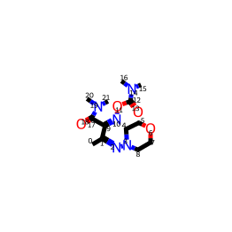 CC(=NN1CCOCC1)C(=NOC(=O)N(C)C)C(=O)N(C)C